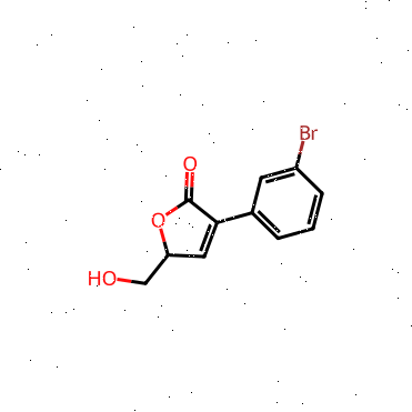 O=C1OC(CO)C=C1c1cccc(Br)c1